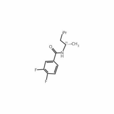 CC(C)C[C@H](C)NC(=O)c1ccc(F)c(F)c1